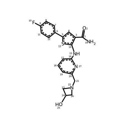 NC(=O)c1cc(-c2ccc(F)cc2)sc1Nc1cccc(CN2CC(O)C2)n1